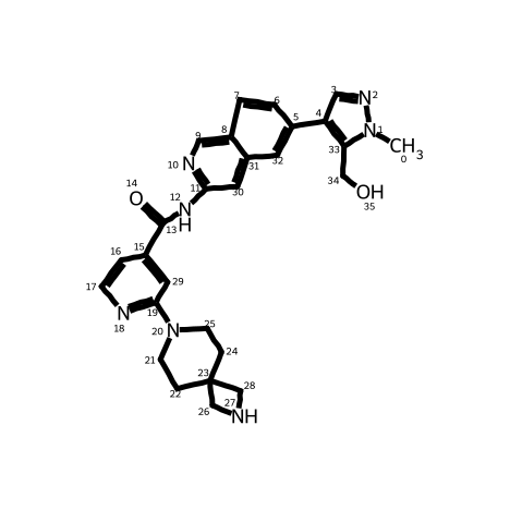 Cn1ncc(-c2ccc3cnc(NC(=O)c4ccnc(N5CCC6(CC5)CNC6)c4)cc3c2)c1CO